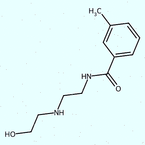 Cc1cccc(C(=O)NCCNCCO)c1